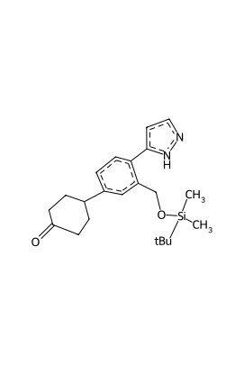 CC(C)(C)[Si](C)(C)OCc1cc(C2CCC(=O)CC2)ccc1-c1ccn[nH]1